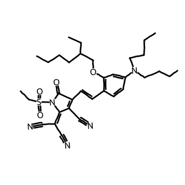 CCCCC(CC)COc1cc(N(CCCC)CCCC)ccc1/C=C/C1=C(C#N)C(=C(C#N)C#N)N(S(=O)(=O)CC)C1=O